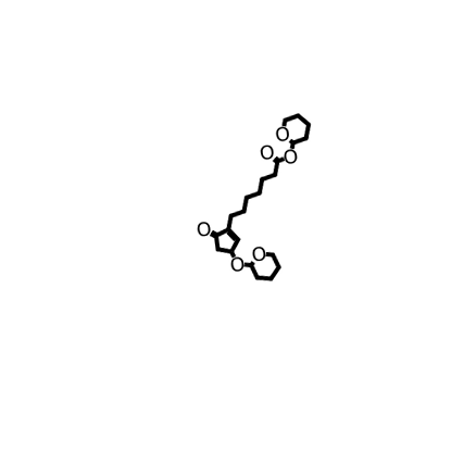 O=C(CCCCCCC1=CC(OC2CCCCO2)CC1=O)OC1CCCCO1